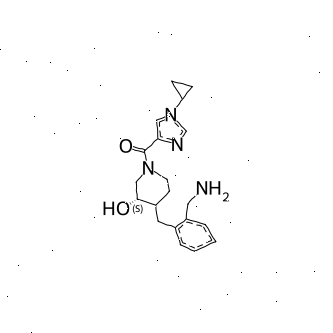 NCc1ccccc1CC1CCN(C(=O)c2cn(C3CC3)cn2)C[C@H]1O